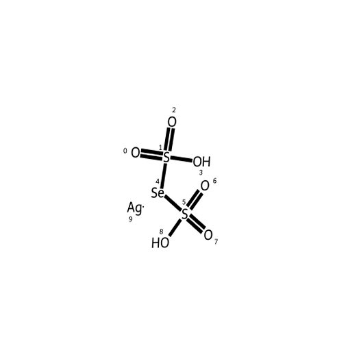 O=S(=O)(O)[Se]S(=O)(=O)O.[Ag]